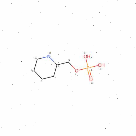 O=P(O)(O)OCC1CCCC[N]1